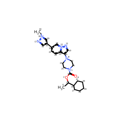 CC(OC(=O)N1CCN(c2cnn3cc(-c4cnn(C)c4)ccc23)CC1)C1CCCCC1